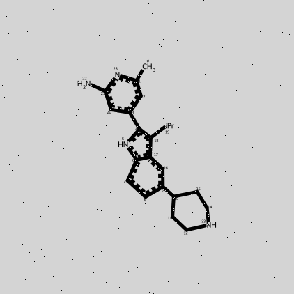 Cc1cc(-c2[nH]c3ccc(C4CCNCC4)cc3c2C(C)C)cc(N)n1